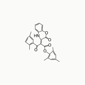 Cc1cc(C)c(OC(=O)C(C(=O)c2cc(C)ccc2C)=C2Nc3ccccc3OC2=O)c(C)c1